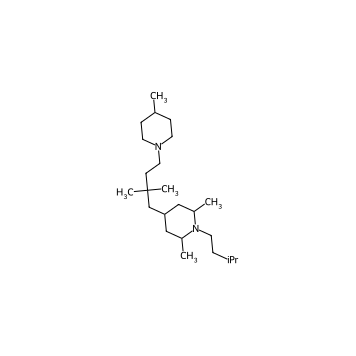 CC(C)CCN1C(C)CC(CC(C)(C)CCN2CCC(C)CC2)CC1C